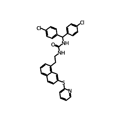 O=C(NCCc1cccc2ccc(Sc3ccccn3)cc12)NC(c1ccc(Cl)cc1)c1ccc(Cl)cc1